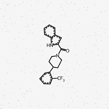 O=C(c1cc2ccccc2[nH]1)N1CCC(c2ccccc2C(F)(F)F)CC1